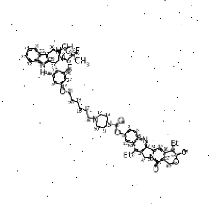 CCc1c2c(nc3ccc(OC(=O)N4CCN(CCCCCCOc5cc(F)c([C@@H]6c7[nH]c8ccccc8c7C[C@@H](C)N6CC(C)(C)F)c(F)c5)CC4)cc13)-c1cc3c(c(=O)n1C2)COC(=O)[C@@H]3CC